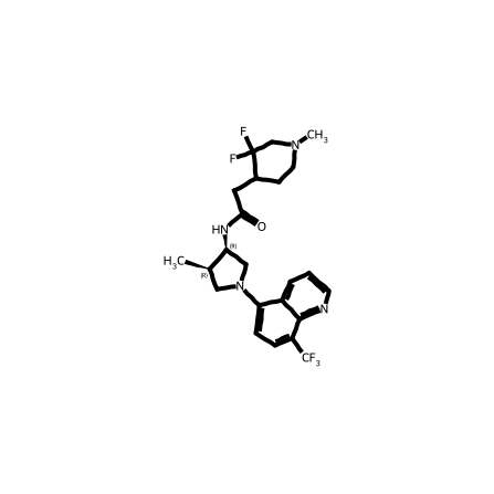 C[C@@H]1CN(c2ccc(C(F)(F)F)c3ncccc23)C[C@@H]1NC(=O)CC1CCN(C)CC1(F)F